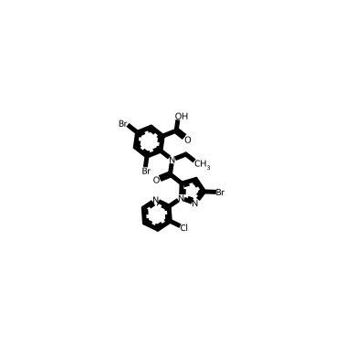 CCN(C(=O)c1cc(Br)nn1-c1ncccc1Cl)c1c(Br)cc(Br)cc1C(=O)O